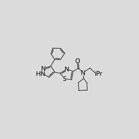 CC(C)CN(C(=O)c1csc(-c2c[nH]nc2-c2ccccc2)n1)C1CCCC1